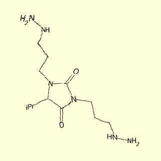 CC(C)C1C(=O)N(CCCNN)C(=O)N1CCCNN